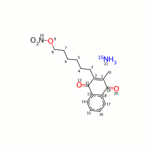 CC1=C(CCCCCCO[N+](=O)[O-])C(=O)c2ccccc2C1=O.[15NH3]